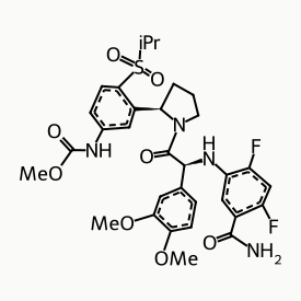 COC(=O)Nc1ccc(S(=O)(=O)C(C)C)c([C@H]2CCCN2C(=O)[C@@H](Nc2cc(C(N)=O)c(F)cc2F)c2ccc(OC)c(OC)c2)c1